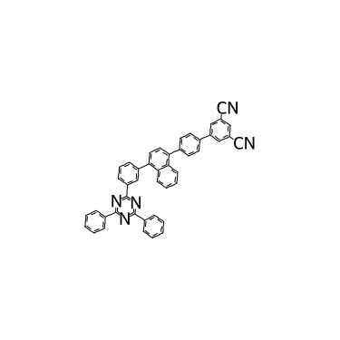 N#Cc1cc(C#N)cc(-c2ccc(-c3ccc(-c4cccc(-c5nc(-c6ccccc6)nc(-c6ccccc6)n5)c4)c4ccccc34)cc2)c1